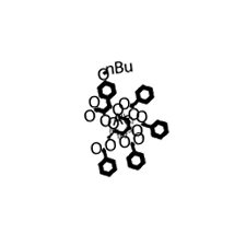 CCCCOc1ccc2c(O[C@H]3O[C@H](COC(=O)c4ccccc4)[C@@H](OC(=O)c4ccccc4)[C@H](OC(=O)c4ccccc4)[C@@H]3OC(=O)c3ccccc3)c(OC(C)=O)c(=O)oc2c1